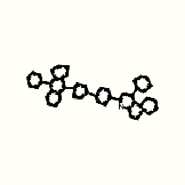 c1ccc(-c2c3ccccc3c(-c3ccc(-c4ccc(-c5cc(-c6ccccc6)c6c(ccc7ccccc76)n5)cc4)cc3)c3ccccc23)cc1